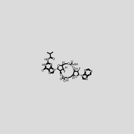 CC(C)C(=O)Nc1nc2c(ncn2[C@@H]2O[C@@H]3CO[P@@](=O)(S)O[C@H]4[C@@H](F)[C@H](n5cnc6cncnc65)O[C@@H]4CNS(=O)(=O)O[C@@H]2[C@@H]3F)c(=O)[nH]1